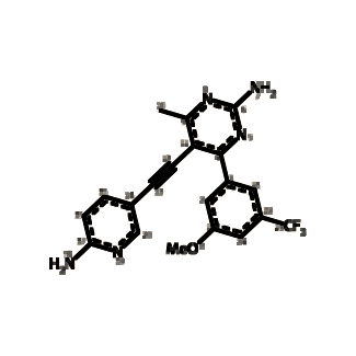 COc1cc(-c2nc(N)nc(C)c2C#Cc2ccc(N)nc2)cc(C(F)(F)F)c1